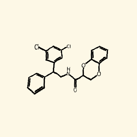 O=C(NCC(c1ccccc1)c1cc(Cl)cc(Cl)c1)C1COc2ccccc2O1